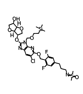 C[Si](C)(C)CCOCn1c(O[C@@H]2CO[C@H]3[C@@H]2OC[C@H]3O)nc2cc(Cl)c(OCc3c(F)cc(CCCN=S(C)(C)=O)cc3F)nc21